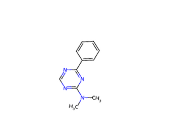 CN(C)c1ncnc(-c2ccccc2)n1